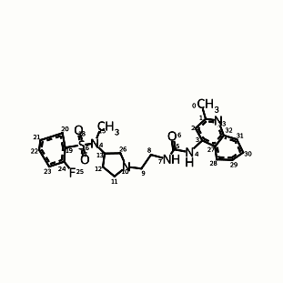 Cc1cc(NC(=O)NCCN2CCC(N(C)S(=O)(=O)c3ccccc3F)C2)c2ccccc2n1